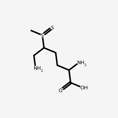 CS(=S)C(CN)CCC(N)C(=O)O